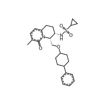 Cc1ccc2n(c1=O)[C@@H](COC1CCC(c3ccccc3)CC1)[C@@H](NS(=O)(=O)C1CC1)CC2